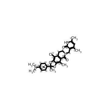 Cc1cc(C)c(CN2CCc3c(Cl)c4c(c(C)c3C2=O)OC(C)(C23CCC(N(C)C)(CC2)CC3)O4)c(=O)[nH]1